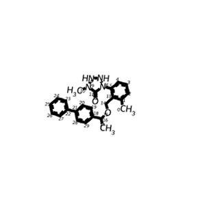 Cc1cccc(N2NNN(C)C2=O)c1COC(C)c1ccc(-c2ccccc2)cc1